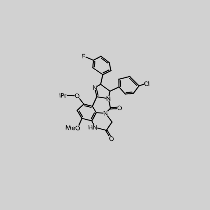 COc1cc(OC(C)C)c2c3c1NC(=O)CN3C(=O)N1C2=NC(c2cccc(F)c2)C1c1ccc(Cl)cc1